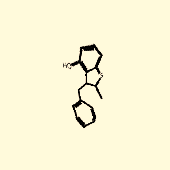 CC1Sc2cccc(O)c2C1Cc1ccccc1